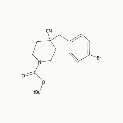 CC(C)(C)OC(=O)N1CCC(C#N)(Cc2ccc(Br)cc2)CC1